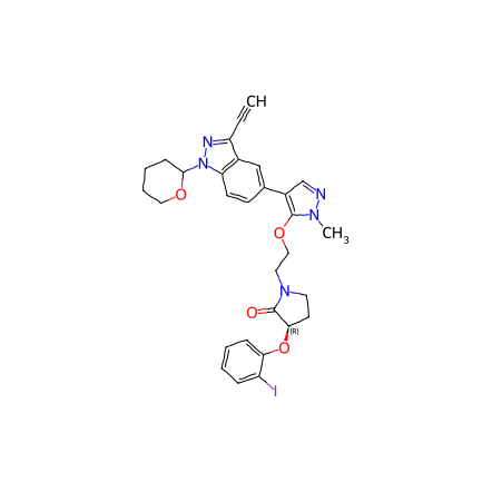 C#Cc1nn(C2CCCCO2)c2ccc(-c3cnn(C)c3OCCN3CC[C@@H](Oc4ccccc4I)C3=O)cc12